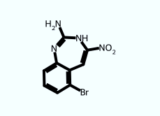 NC1=Nc2cccc(Br)c2C=C([N+](=O)[O-])N1